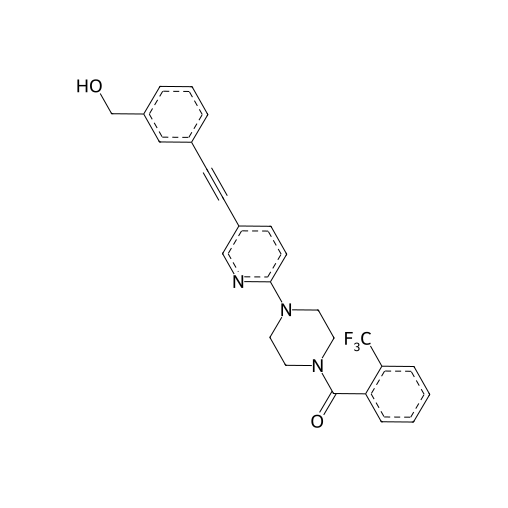 O=C(c1ccccc1C(F)(F)F)N1CCN(c2ccc(C#Cc3cccc(CO)c3)cn2)CC1